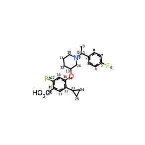 C[C@@H](c1ccc(F)cc1)N1CCCC(Oc2cc(F)c(C(=O)O)cc2C2CC2)C1